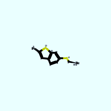 CC[C@H](C)CSc1ccc2cc(C(C)C)sc2c1